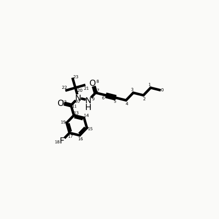 CCCCCC#CC(=O)NN(C(=O)c1cccc(F)c1)C(C)(C)C